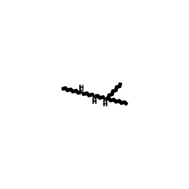 CCCCCCCNCCCCNCCCNC(CCCCCCC)CCCCCCC